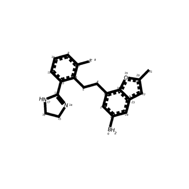 Bc1cc(CCc2c(F)cccc2C2=NCCN2)c2oc(C)cc2c1